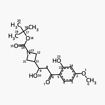 COc1ccc(C(=O)CC(O)C2CN(C(=O)OC(C)(C)C)C2)c(O)c1